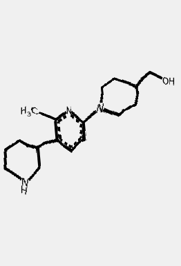 Cc1nc(N2CCC(CO)CC2)ccc1C1CCCNC1